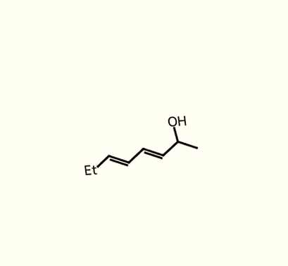 CCC=CC=CC(C)O